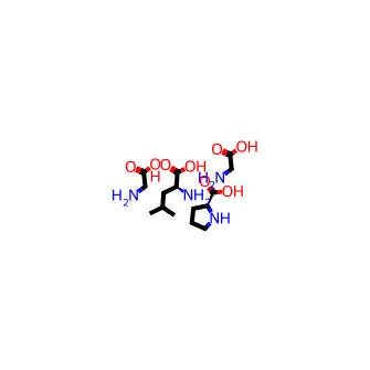 CC(C)C[C@H](N)C(=O)O.NCC(=O)O.NCC(=O)O.O=C(O)[C@@H]1CCCN1